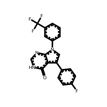 O=c1[nH]cnc2c1c(-c1ccc(F)cc1)cn2-c1cccc(C(F)(F)F)c1